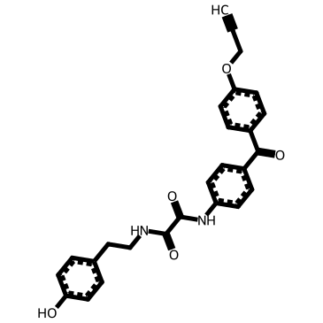 C#CCOc1ccc(C(=O)c2ccc(NC(=O)C(=O)NCCc3ccc(O)cc3)cc2)cc1